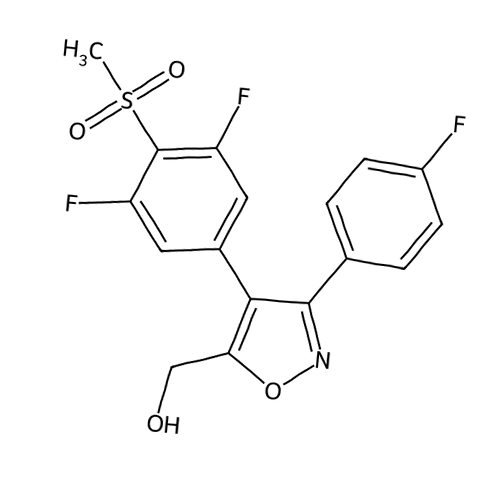 CS(=O)(=O)c1c(F)cc(-c2c(-c3ccc(F)cc3)noc2CO)cc1F